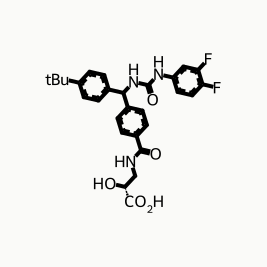 CC(C)(C)c1ccc(C(NC(=O)Nc2ccc(F)c(F)c2)c2ccc(C(=O)NC[C@@H](O)C(=O)O)cc2)cc1